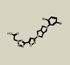 O=C(O)Cn1nnc(-c2cc(N3CC4CN(c5cc(Br)ccc5Br)CC4C3)no2)n1